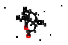 CC1(C)CCCC2(C)CCC(=O)OC3CC312